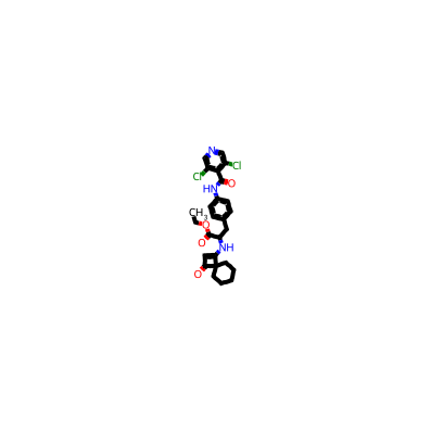 CCOC(=O)C(Cc1ccc(NC(=O)c2c(Cl)cncc2Cl)cc1)NC1=CC(=O)C12CCCCC2